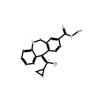 CCCOC(=O)c1ccc2c(c1)COc1ccccc1/C2=C(/C#N)C1CC1